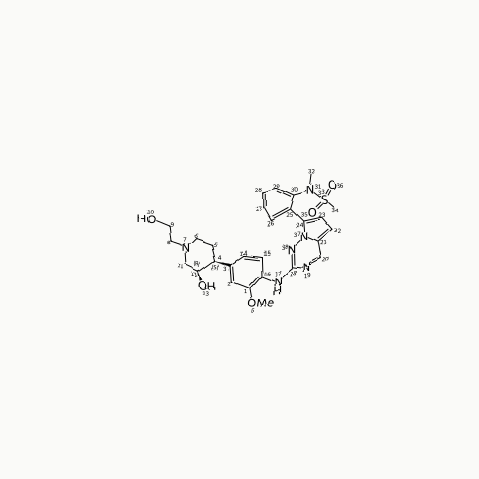 COc1cc([C@@H]2CCN(CCO)C[C@@H]2O)ccc1Nc1ncc2ccc(-c3ccccc3N(C)S(C)(=O)=O)n2n1